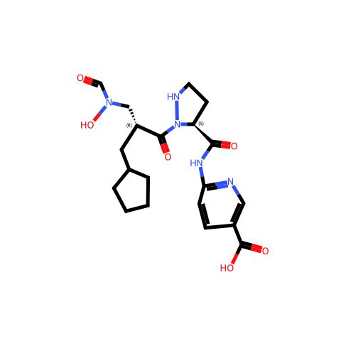 O=CN(O)C[C@@H](CC1CCCC1)C(=O)N1NCC[C@H]1C(=O)Nc1ccc(C(=O)O)cn1